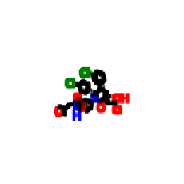 CC[C@@H](CS(=O)(=O)NCC1COC1)N1C(=O)[C@@](C)(CC(=O)O)C[C@H](c2cccc(Cl)c2)[C@H]1c1ccc(Cl)cc1